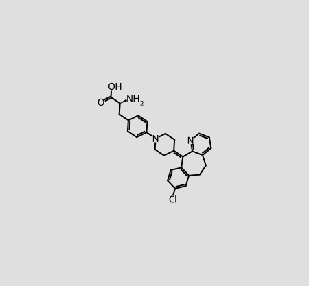 N[C@@H](Cc1ccc(N2CCC(=C3c4ccc(Cl)cc4CCc4cccnc43)CC2)cc1)C(=O)O